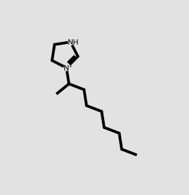 CCCCCCCC(C)[N+]1=CNCC1